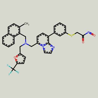 Cc1ccc2ccccc2c1CN(Cc1ccc(C(F)(F)F)o1)Cc1ccc(-c2cccc(SCC(=O)N=O)c2)c2nccn12